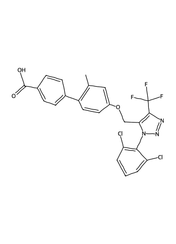 Cc1cc(OCc2c(C(F)(F)F)nnn2-c2c(Cl)cccc2Cl)ccc1-c1ccc(C(=O)O)cc1